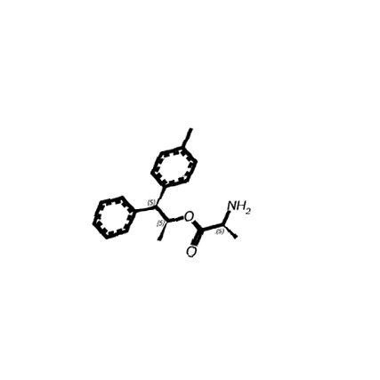 Cc1ccc([C@H](c2ccccc2)[C@H](C)OC(=O)[C@H](C)N)cc1